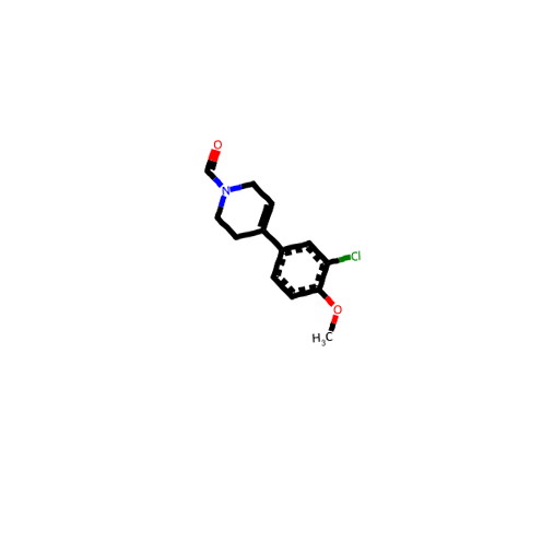 COc1ccc(C2=CCN(C=O)CC2)cc1Cl